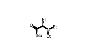 CC[C@H](C(=O)C(C)(C)C)N(CC)CC